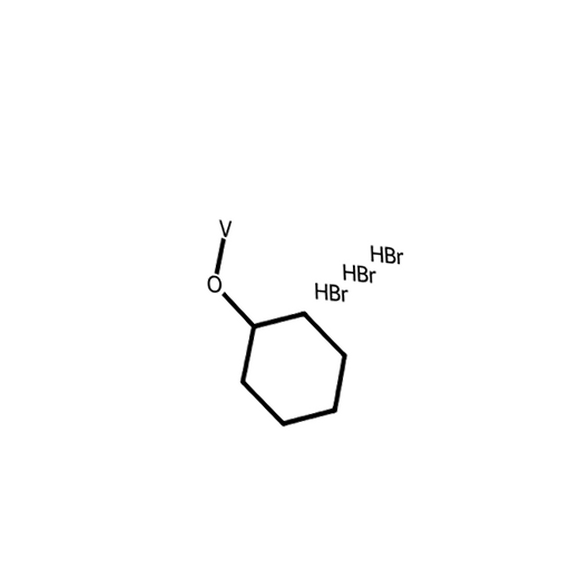 Br.Br.Br.[V][O]C1CCCCC1